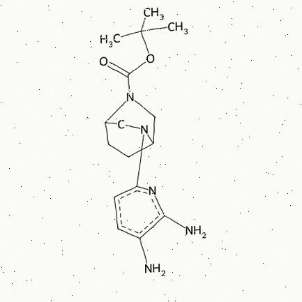 CC(C)(C)OC(=O)N1CC2CCC1CN2c1ccc(N)c(N)n1